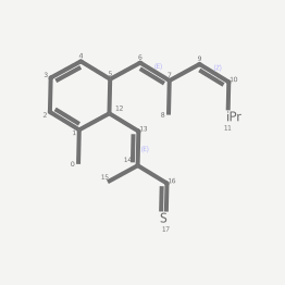 CC1=CC=CC(/C=C(C)/C=C\C(C)C)C1/C=C(\C)C=S